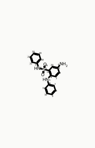 Nc1ccc(Nc2ccccc2)c(S(=O)(=O)Nc2ccccc2)c1